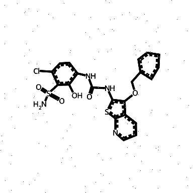 NS(=O)(=O)c1c(Cl)ccc(NC(=O)Nc2sc3ncccc3c2OCc2ccccc2)c1O